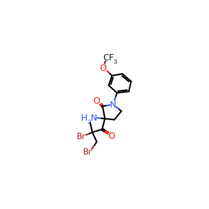 CC(Br)(CBr)C(=O)C1(N)CCN(c2cccc(OC(F)(F)F)c2)C1=O